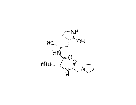 CC(C)(C)C[C@H](NC(=O)CN1CCCC1)C(=O)N[C@H](C#N)C[C@@H]1CCNC1O